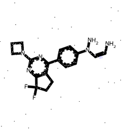 N/C=C\N(N)c1ccc(-c2nc(N3CCC3)nc3c2CCC3(F)F)cc1